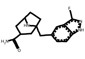 NC(=O)C1CC2CCC(Cc3ccc4[nH]nc(F)c4c3)(C1)N2